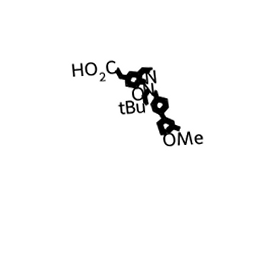 COc1ccc(-c2ccc(CN(C(=O)CC(C)(C)C)c3nccc4cc(CCC(=O)O)ccc34)cc2)cc1C